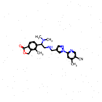 Cc1cc(-n2cc(CNCC(c3ccc4c(c3C)COC4=O)N(C)C)cn2)ncc1C#N